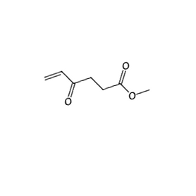 C=CC(=O)CCC(=O)OC